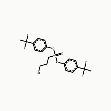 O=P(CCCBr)(Oc1ccc(C(F)(F)F)cc1)Oc1ccc(C(F)(F)F)cc1